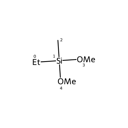 CC[Si](C)(OC)OC